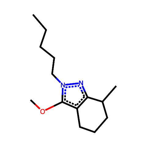 CCCCCn1nc2c(c1OC)CCCC2C